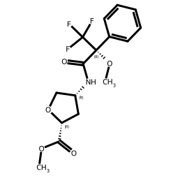 COC(=O)[C@H]1C[C@@H](NC(=O)[C@](OC)(c2ccccc2)C(F)(F)F)CO1